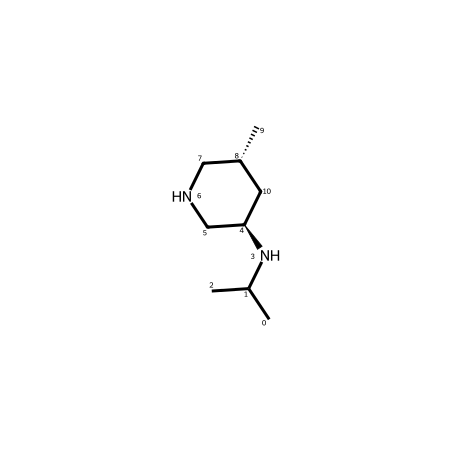 CC(C)N[C@H]1CNC[C@H](C)C1